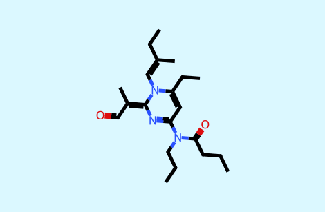 CCCC(=O)N(CCC)C1=N/C(=C(/C)C=O)N(/C=C(\C)CC)C(CC)=C1